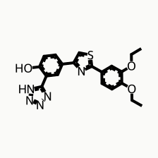 CCOc1ccc(-c2nc(-c3ccc(O)c(-c4nnn[nH]4)c3)cs2)cc1OCC